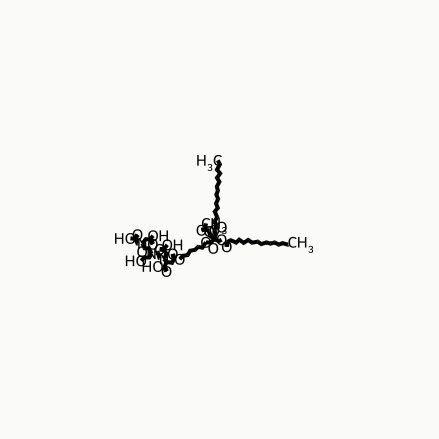 CCCCCCCCCCCCCCCC(=O)OCC(COC(C)=O)(COC(=O)CCCCCCCCCCCCCCC)C(=O)OCCCCCCOC(=O)CC(C(=O)O)N(CCN(CCN(CC(=O)O)CC(=O)O)CC(=O)O)CC(=O)O